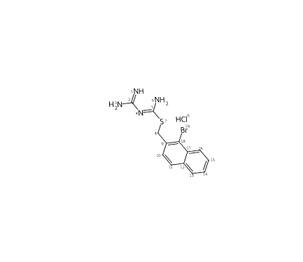 Cl.N=C(N)N=C(N)SCc1ccc2ccccc2c1Br